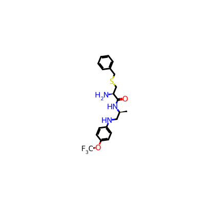 C[C@@H](CNc1ccc(OC(F)(F)F)cc1)NC(=O)[C@@H](N)CSCc1ccccc1